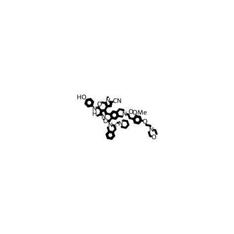 COc1cc(OCCN2CCOCC2)ccc1CC(=O)N1CCc2cc(-c3c(-c4cc(C#N)n(C)c4C)c(C(=O)Nc4ccc(O)cc4)c(C)n3C)c(C(=O)N3Cc4ccccc4C[C@H]3CN3CCCCC3)cc2C1